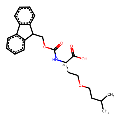 CC(C)CCOCC[C@H](NC(=O)OCC1c2ccccc2-c2ccccc21)C(=O)O